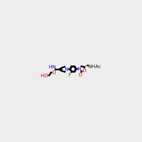 CC(=O)NC[C@H]1CN(c2ccc(N3CC4C(C3)C4C(=N)OCCO)c(F)c2)C(=O)O1